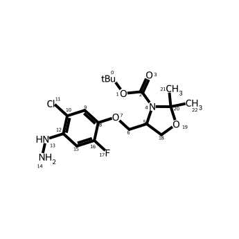 CC(C)(C)OC(=O)N1C(COc2cc(Cl)c(NN)cc2F)COC1(C)C